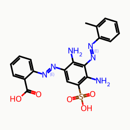 Cc1ccccc1/N=N/c1c(N)c(/N=N/c2ccccc2C(=O)O)cc(S(=O)(=O)O)c1N